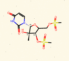 C[C@]1(O)[C@H](OS(C)(=O)=O)C(COS(C)(=O)=O)O[C@H]1n1ccc(=O)[nH]c1=O